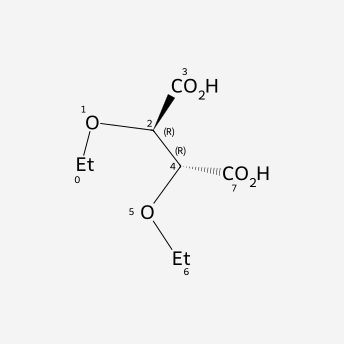 CCO[C@@H](C(=O)O)[C@@H](OCC)C(=O)O